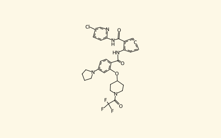 O=C(Nc1ccc(Cl)cn1)c1ccccc1NC(=O)c1ccc(N2CCCC2)cc1OC1CCN(C(=O)C(F)(F)F)CC1